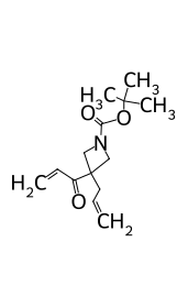 C=CCC1(C(=O)C=C)CN(C(=O)OC(C)(C)C)C1